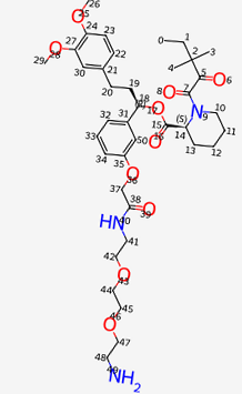 CCC(C)(C)C(=O)C(=O)N1CCCC[C@H]1C(=O)O[C@H](CCc1ccc(OC)c(OC)c1)c1cccc(OCC(=O)NCCOCCOCCN)c1